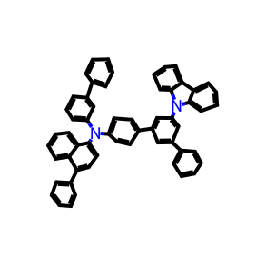 c1ccc(-c2cccc(N(c3ccc(-c4cc(-c5ccccc5)cc(-n5c6ccccc6c6ccccc65)c4)cc3)c3ccc(-c4ccccc4)c4ccccc34)c2)cc1